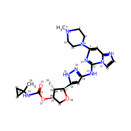 CN1CCN(c2cc3nccn3c(Nc3cc([C@H]4OC[C@@H](OC(=O)NC5(C)CC5)[C@@H]4F)[nH]n3)n2)CC1